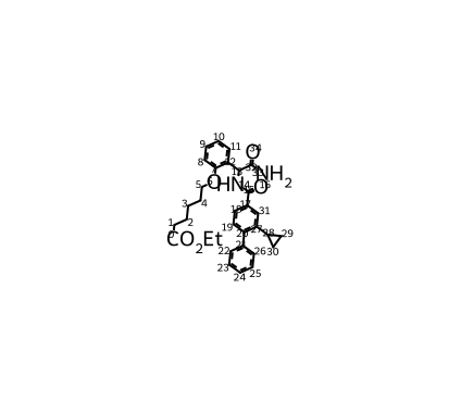 CCOC(=O)CCCCCOc1ccccc1C(NC(=O)c1ccc(-c2ccccc2)c(C2CC2)c1)C(N)=O